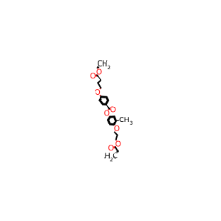 C=COC(=O)CCCOc1ccc(C(=O)Oc2ccc(OCCCOC(=O)C=C)c(C)c2)cc1